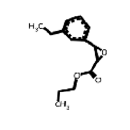 CCCOC(=O)C1OC1c1cccc(CC)c1